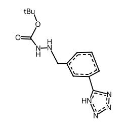 CC(C)(C)OC(=O)NNCc1cccc(-c2nnn[nH]2)c1